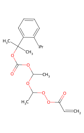 C=CC(=O)OOC(C)OC(C)OC(=O)OC(C)(C)c1ccccc1C(C)C